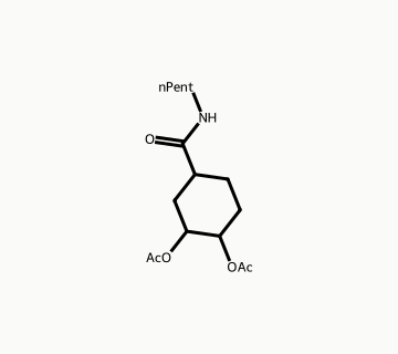 CCCCCNC(=O)C1CCC(OC(C)=O)C(OC(C)=O)C1